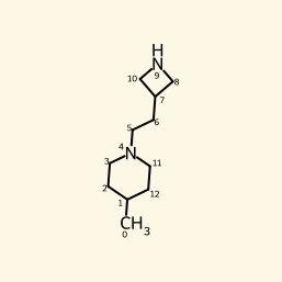 CC1CCN(CCC2CNC2)CC1